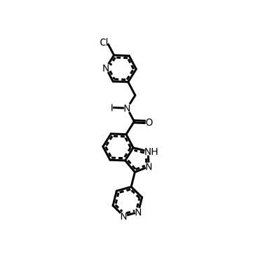 O=C(c1cccc2c(-c3ccnnc3)n[nH]c12)N(I)Cc1ccc(Cl)nc1